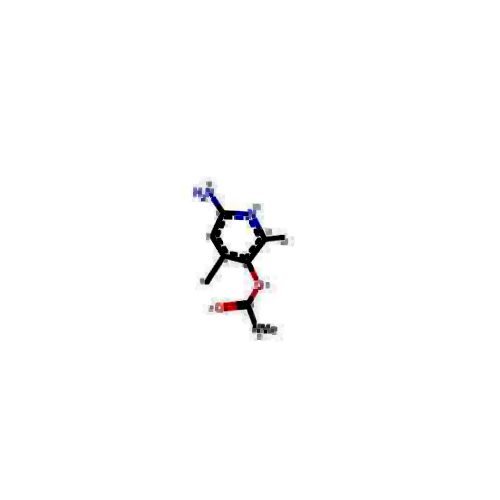 CNC(=O)Oc1c(C)cc(N)nc1C